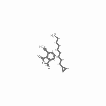 C#Cc1cccc2c1C(=O)OC2=O.CCCCCCCCCC1CC1